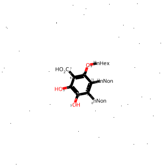 CCCCCCCCCc1c(O)c(O)c(C(=O)O)c(OCCCCCC)c1CCCCCCCCC